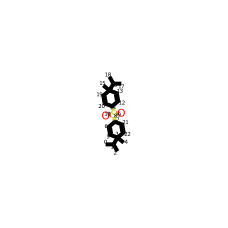 CC(C)C1(C)C=CC(S(=O)(=O)C2C=CC(C)(C(C)C)C=C2)C=C1